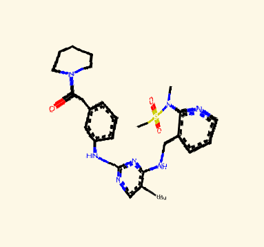 CN(c1ncccc1CNc1nc(Nc2cccc(C(=O)N3CCCCC3)c2)ncc1C(C)(C)C)S(C)(=O)=O